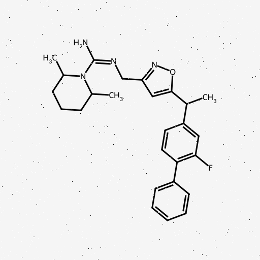 CC(c1ccc(-c2ccccc2)c(F)c1)c1cc(C/N=C(/N)N2C(C)CCCC2C)no1